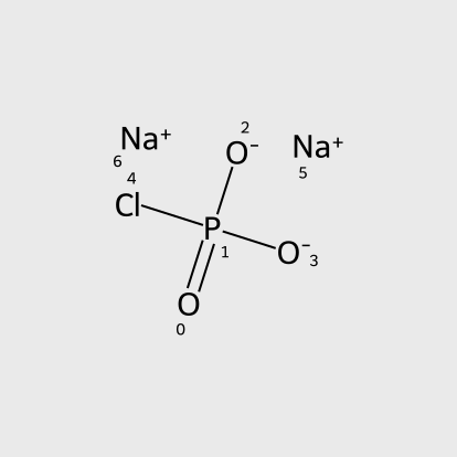 O=P([O-])([O-])Cl.[Na+].[Na+]